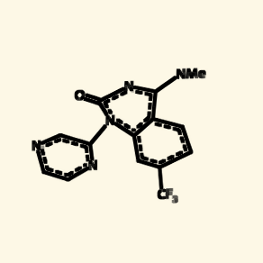 CNc1nc(=O)n(-c2cnccn2)c2cc(C(F)(F)F)ccc12